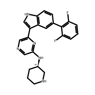 Fc1cccc(F)c1-c1ccc2[nH]cc(-c3cncc(N[C@@H]4CCCNC4)n3)c2c1